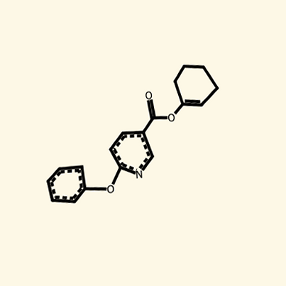 O=C(OC1=CCCCC1)c1ccc(Oc2ccccc2)nc1